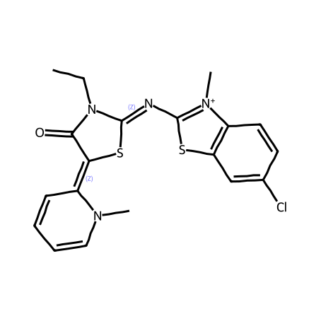 CCN1C(=O)/C(=C2\C=CC=CN2C)S/C1=N\c1sc2cc(Cl)ccc2[n+]1C